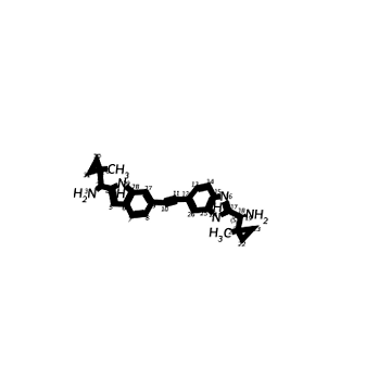 CC1(C(N)c2cc3ccc(C#Cc4ccc5nc([C@@H](N)C6(C)CC6)[nH]c5c4)cc3[nH]2)CC1